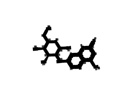 Cc1cc(=O)oc2cc(NC3C(O)OC(CO)[C@H](O)[C@H]3O)ccc12